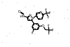 O=CNc1cc(-c2cc(F)cc(OCC(F)(F)F)c2)n(-c2ccc(C(F)(F)F)nc2)n1